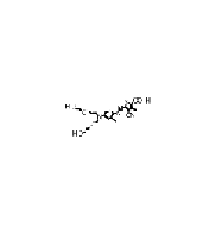 Cc1cc(N(CCCOCCO)CCOCCO)ccc1/N=N/c1sc(C(=O)O)c(C)c1C#N